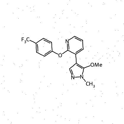 COc1c(-c2cccnc2Oc2ccc(C(F)(F)F)cc2)cnn1C